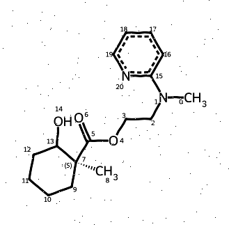 CN(CCOC(=O)[C@@]1(C)CCCCC1O)c1ccccn1